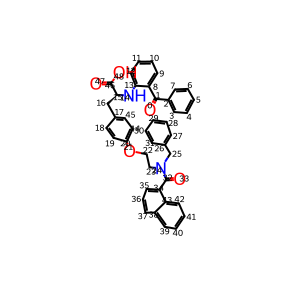 O=C(c1ccccc1)c1ccccc1N[C@@H](Cc1ccc(OCCN(Cc2ccccc2)C(=O)c2cccc3ccccc23)cc1)C(=O)O